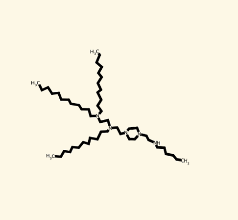 CCCCCCCCCCCCN(CCCCCCCCCCCC)CCN(CCCCCCCCCCCC)CCN1CCN(CCNCCCCCC)CC1